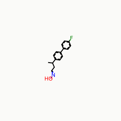 CC(C/C=N/O)c1ccc(-c2ccc(F)cc2)cc1